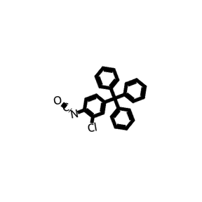 O=C=Nc1ccc(C(c2ccccc2)(c2ccccc2)c2ccccc2)cc1Cl